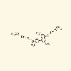 COCCOCCOCCOc1ccc(-c2cc(C)cc3c(OCCOCCOC)cc(C)cc23)cc1C